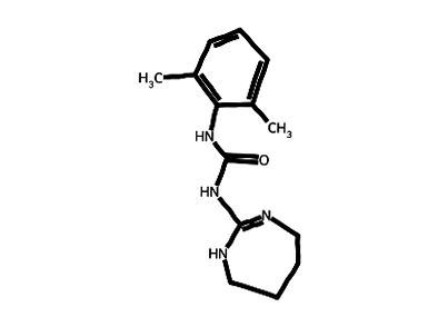 Cc1cccc(C)c1NC(=O)NC1=NCCCCN1